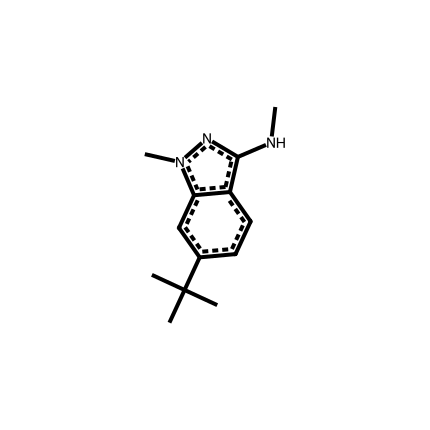 CNc1nn(C)c2cc(C(C)(C)C)ccc12